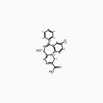 Cl.O=C(O)C1=NN=C2CN=C(c3ccccc3)c3cc(Cl)ccc3N2C1